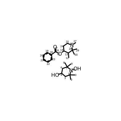 CC1(C)CC(O)CC(C)(C)N1O.CC1C(OC(=O)c2ccccc2)CCN(C)C1(C)C